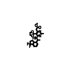 COC(=O)Cc1nc(C)nc(NC(C)c2cccc3c2CCC3(F)F)c1C1OCCO1